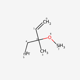 C=CC(C)(CCCC)O[SiH3]